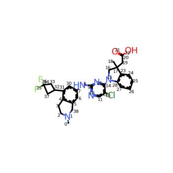 CN1CCc2c(cc(Nc3ncc(Cl)c(N4CC(C)(CC(=O)O)c5ccccc54)n3)cc2C2CC(F)(F)C2)C1